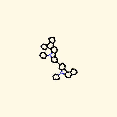 c1ccc(-n2c3cc(-c4ccc5c(c4)c4ccc6c7ccccc7c7ccccc7c6c4n5-c4ccccc4)ccc3c3c4ccccc4ccc32)cc1